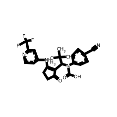 CC(C)(C)C(C1=C(Nc2ccnc(C(F)(F)F)c2)CCC1=O)N(C(=O)O)c1ccc(C#N)cc1